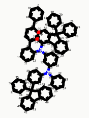 c1ccc(-c2ccc(-c3ccccc3N(c3cccc(N(c4ccccc4)c4cccc(C5(c6ccccc6)c6ccccc6-c6ccccc65)c4)c3)c3cccc4c3-c3ccccc3C4(c3ccccc3)c3ccccc3)cc2)cc1